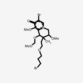 COCOC1c2c(OC)c(=O)c(Br)cn2CC(OC)C1(C)CCOCCCBr